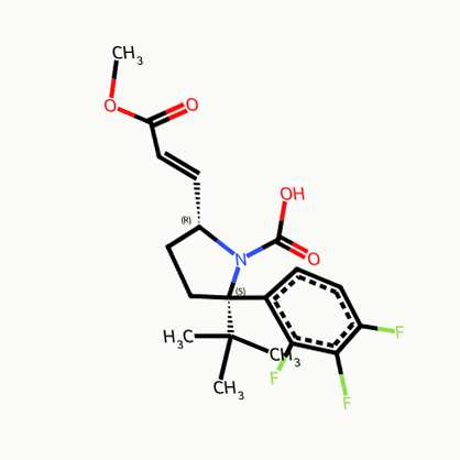 COC(=O)C=C[C@H]1CC[C@@](c2ccc(F)c(F)c2F)(C(C)(C)C)N1C(=O)O